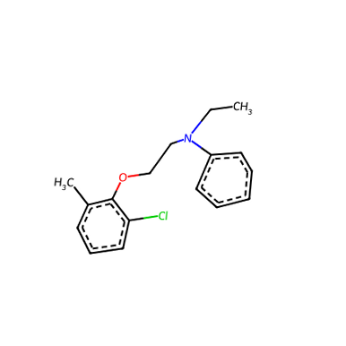 CCN(CCOc1c(C)cccc1Cl)c1ccccc1